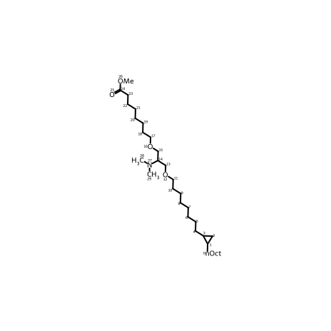 CCCCCCCCC1CC1CCCCCCCCOCC(COCCCCCCCC(=O)OC)N(C)C